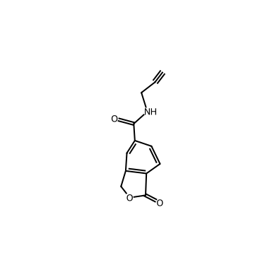 C#CCNC(=O)c1ccc2c(c1)COC2=O